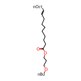 CCCCCCCC/C=C/CCCCCCCC(=O)OCCCOCCCC